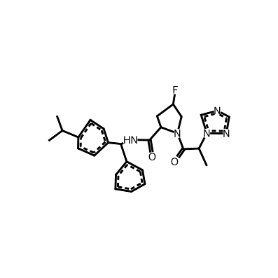 CC(C)c1ccc(C(NC(=O)C2CC(F)CN2C(=O)C(C)n2cncn2)c2ccccc2)cc1